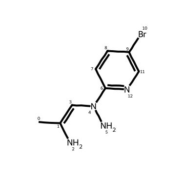 C/C(N)=C/N(N)c1ccc(Br)cn1